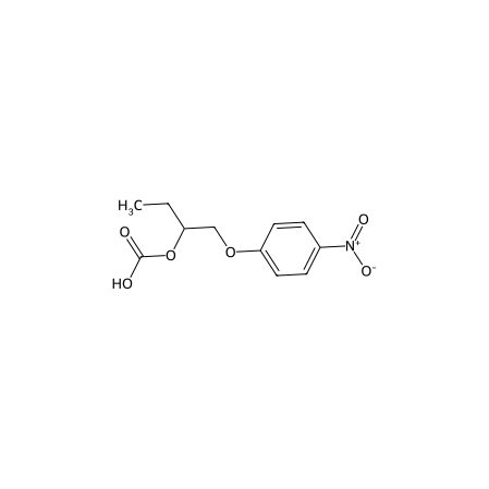 CCC(COc1ccc([N+](=O)[O-])cc1)OC(=O)O